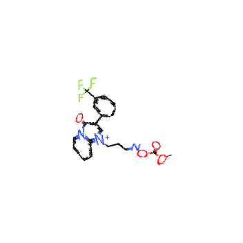 COC(=O)ON=CCC[n+]1cc(-c2cccc(C(F)(F)F)c2)c(=O)n2ccccc21